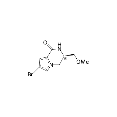 COC[C@H]1Cn2cc(Br)cc2C(=O)N1